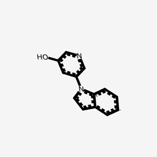 Oc1cncc(-n2ccc3c[c]ccc32)c1